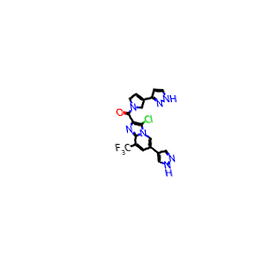 O=C(c1nc2c(C(F)(F)F)cc(-c3cn[nH]c3)cn2c1Cl)N1CC=C(c2cc[nH]n2)C1